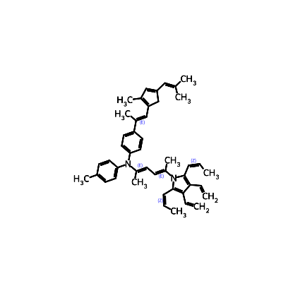 C=Cc1c(C=C)c(/C=C\C)n(/C(C)=C/C=C(\C)N(c2ccc(C)cc2)c2ccc(/C(C)=C/C3=C(C)C=C(C=C(C)C)C3)cc2)c1/C=C\C